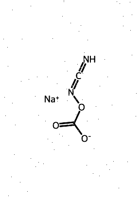 N=C=NOC(=O)[O-].[Na+]